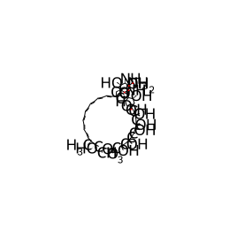 C[C@H]1C[C@H](O)[C@@H](C)/C=C/C=C/C=C/C=C/C=C/C=C/C=C/C(O[C@@H]2OC[C@@H](O)[C@H](N)[C@@H]2O)C[C@@H]2OC(O)(CC(O)CC(O)C(O)CCC(O)CC(O)CC(=O)O1)C[C@H](O)[C@H]2C(=O)NCN